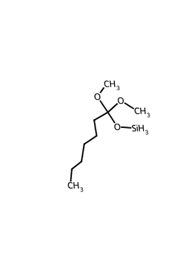 CCCCCCC(OC)(OC)O[SiH3]